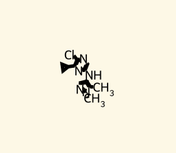 Cc1c(Nc2cnc(Cl)c(C3CC3)n2)cnn1C